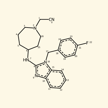 N#CCN1CCCC(Nc2nc3ccccc3n2Cc2ccc(F)cc2)CC1